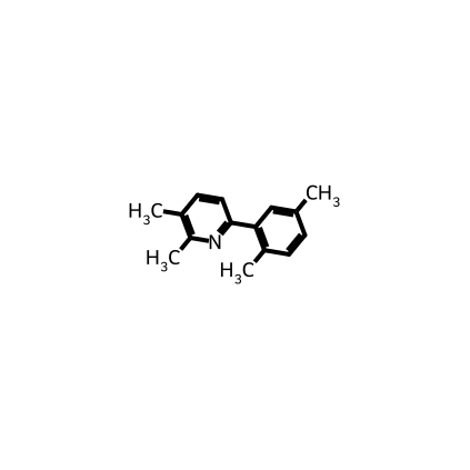 Cc1ccc(C)c(-c2ccc(C)c(C)n2)c1